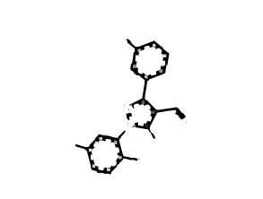 O=Cc1c(-c2cccc(F)c2)nn(-c2cc(F)ccc2F)c1Cl